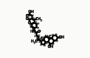 Cc1c(CC(=O)O)c(=O)oc2cc(NC(=O)CCC(C)C3CCC4C5C(O)CC6CC(O)CCC6(C)C5CCC34C)ccc12